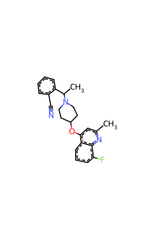 Cc1cc(OC2CCN(C(C)c3ccccc3C#N)CC2)c2cccc(F)c2n1